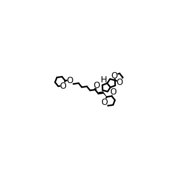 O=C(C=C[C@@H]1OCCC[C@H]1O[C@]12CCC[C@@H]1CC1(C2)OCCO1)CCCCCOC1CCCCO1